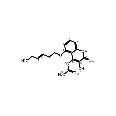 CC/C=C/CCOc1cccc2oc(=O)c(O)c(OC(C)=O)c12